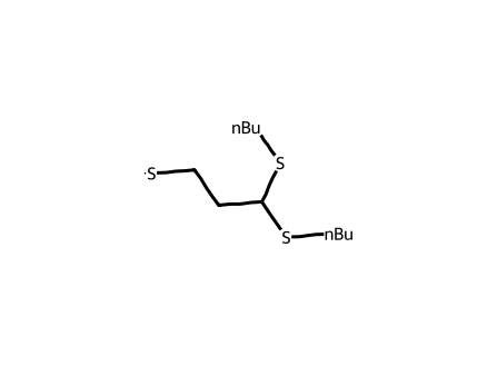 CCCCSC(CC[S])SCCCC